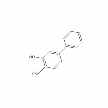 Oc1cc(-c2ccccc2)ccc1[SeH]